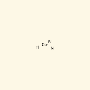 [B].[Co].[Ni].[Tl]